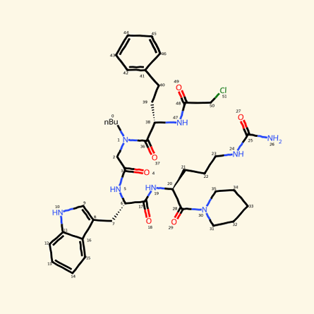 CCCCN(CC(=O)N[C@@H](Cc1c[nH]c2ccccc12)C(=O)N[C@@H](CCCNC(N)=O)C(=O)N1CCCCC1)C(=O)[C@H](CCc1ccccc1)NC(=O)CCl